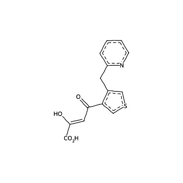 O=C(O)C(O)=CC(=O)c1cscc1Cc1ccccn1